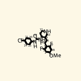 COc1cc(F)c([C@H](F)CC2CNCCC2NC(=O)Nc2ccc(Cl)cc2)c(F)c1